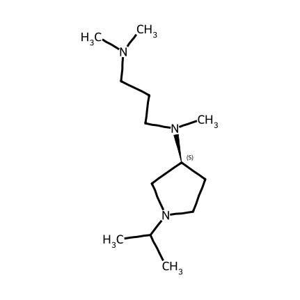 CC(C)N1CC[C@H](N(C)CCCN(C)C)C1